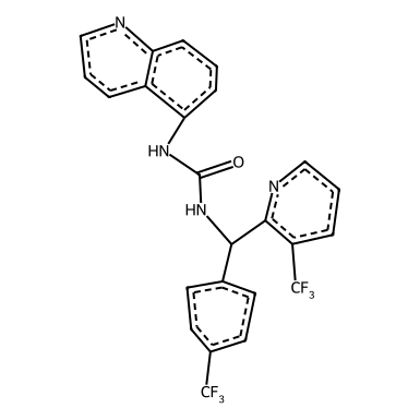 O=C(Nc1cccc2ncccc12)NC(c1ccc(C(F)(F)F)cc1)c1ncccc1C(F)(F)F